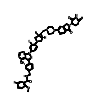 COc1ccc(F)cc1C(=O)NCc1ccc(-c2nn(-c3ccc(N4C[C@@H]5[C@@H](CN6CCN(c7ccc8c(c7)CN([C@H]7CCC(=O)NC7=O)C8=O)CC6)[C@@H]5C4)c(F)c3)c3ncnc(N)c23)cc1